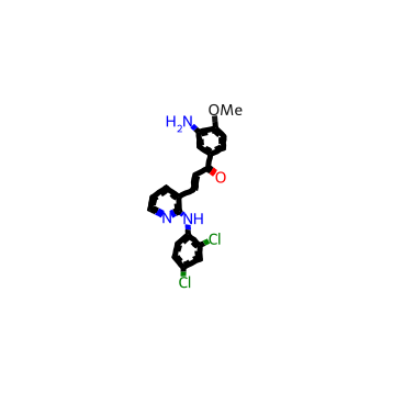 COc1ccc(C(=O)C=Cc2cccnc2Nc2ccc(Cl)cc2Cl)cc1N